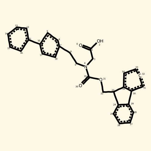 O=C(O)CN(CCc1ccc(-c2ccccc2)cc1)C(=O)OCC1c2ccccc2-c2ccccc21